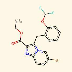 CCOC(=O)c1nc2ccc(Br)cn2c1Cc1ccccc1OC(F)F